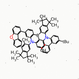 Cc1cc2c3c(c1)N(c1ccc(C(C)(C)C)cc1-c1ccccc1)c1cc4c(cc1B3c1ccc(-c3cccc5oc6ccccc6c35)cc1N2c1cc2c(cc1C)C(C)(C)CC2(C)C)C(C)(C)CC4(C)C